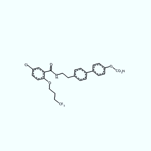 O=C(O)Oc1ccc(-c2ccc(CCNC(=O)c3cc(Cl)ccc3OCCCC(F)(F)F)cc2)cc1